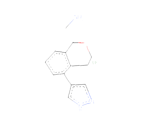 Cl.NC[C@@H]1OCCc2c(-c3cn[nH]c3)cccc21